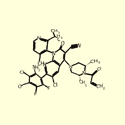 C=CC(=O)N1[C@H](C)CN(c2c(C#N)c(=O)n(-c3c(C)ccnc3C(C)C)c3nc(-c4c(N)c(Cl)c(Cl)c(F)c4F)c(Cl)cc23)C[C@@H]1C